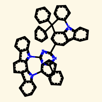 c1ccc(-c2nc(-c3cc4c5c(c3)c3ccccc3n5-c3ccccc3C4(c3ccccc3)c3ccccc3)nc(-n3c4ccccc4c4ccc5c6ccccc6n(-c6ccccc6)c5c43)n2)cc1